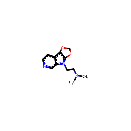 CN(C)CCn1c2c(c3ccncc31)OCO2